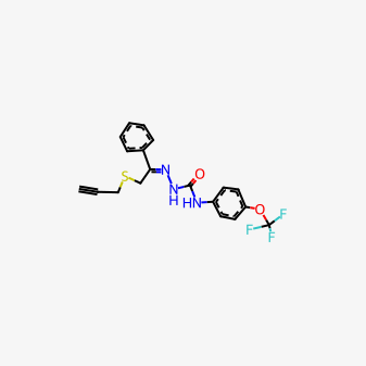 C#CCSCC(=NNC(=O)Nc1ccc(OC(F)(F)F)cc1)c1ccccc1